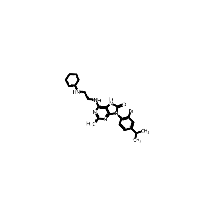 Cc1nc(NCCNC2CCCCC2)c2[nH]c(=O)n(-c3ccc(C(C)C)cc3Br)c2n1